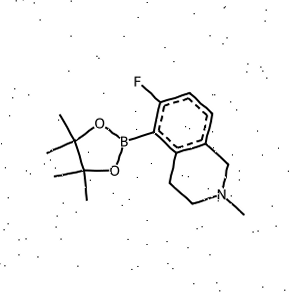 CN1CCc2c(ccc(F)c2B2OC(C)(C)C(C)(C)O2)C1